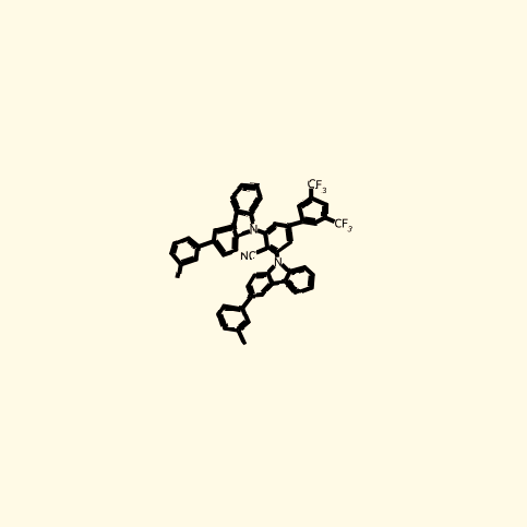 Cc1cccc(-c2ccc3c(c2)c2ccccc2n3-c2cc(-c3cc(C(F)(F)F)cc(C(F)(F)F)c3)cc(-n3c4ccccc4c4cc(-c5cccc(C)c5)ccc43)c2C#N)c1